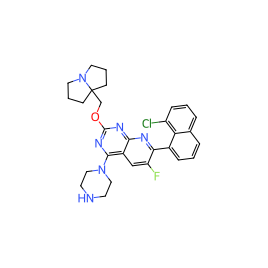 Fc1cc2c(N3CCNCC3)nc(OCC34CCCN3CCC4)nc2nc1-c1cccc2cccc(Cl)c12